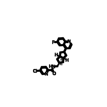 O=C(NC[C@H]1C[C@H]2CC(c3ccnc4ccc(F)cc34)C[C@H]2C1)c1ccc(Cl)cn1